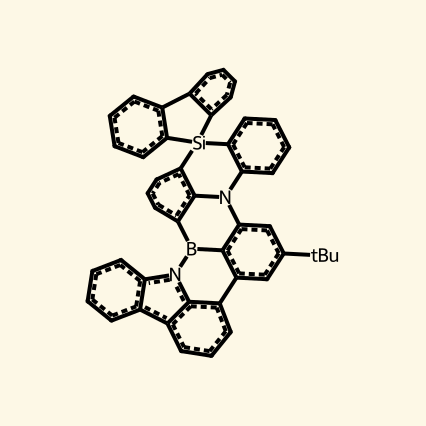 CC(C)(C)c1cc2c3c(c1)N1c4ccccc4[Si]4(c5ccccc5-c5ccccc54)c4cccc(c41)B3n1c3ccccc3c3cccc-2c31